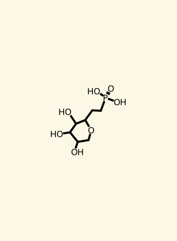 O=P(O)(O)CCC1OCC(O)C(O)C1O